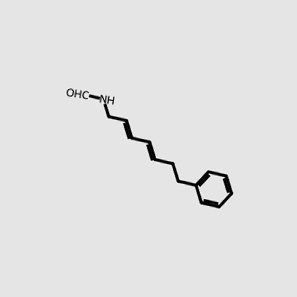 O=CNC/C=C/C=C/CCc1ccccc1